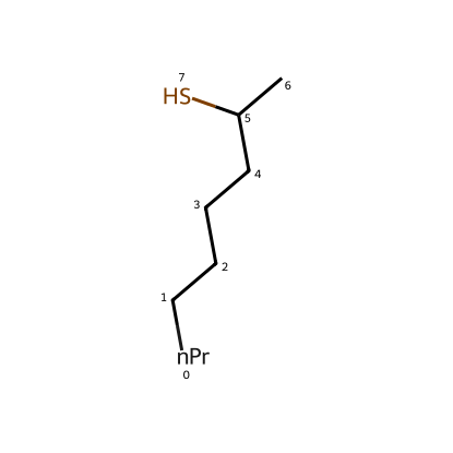 CCCCCCCC(C)S